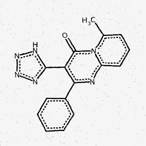 Cc1cccc2nc(-c3ccccc3)c(-c3nnn[nH]3)c(=O)n12